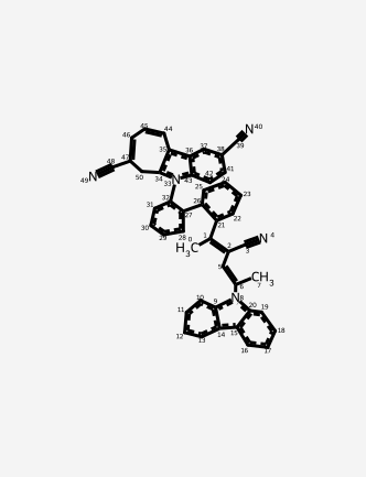 C/C(=C(C#N)\C=C(/C)n1c2ccccc2c2ccccc21)c1ccccc1-c1ccccc1-n1c2c(c3cc(C#N)ccc31)C=CC=C(C#N)C2